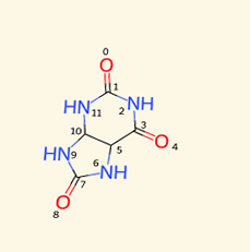 O=C1NC(=O)C2NC(=O)NC2N1